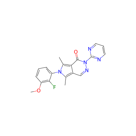 COc1cccc(-n2c(C)c3cnn(-c4ncccn4)c(=O)c3c2C)c1F